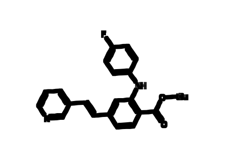 CC(C)(C)OC(=O)c1ccc(C=Cc2cccnc2)cc1Nc1ccc(F)cc1